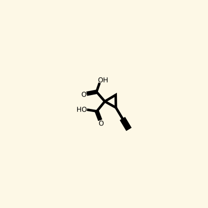 C#CC1CC1(C(=O)O)C(=O)O